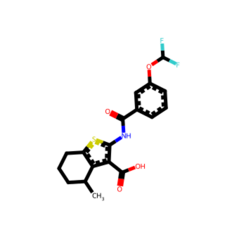 CC1CCCc2sc(NC(=O)c3cccc(OC(F)F)c3)c(C(=O)O)c21